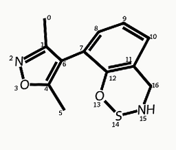 Cc1noc(C)c1-c1cccc2c1OSNC2